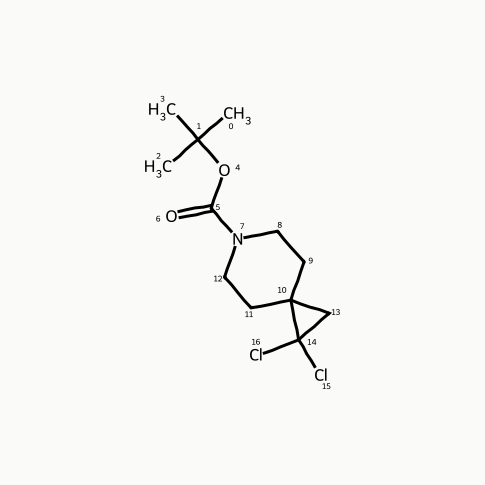 CC(C)(C)OC(=O)N1CCC2(CC1)CC2(Cl)Cl